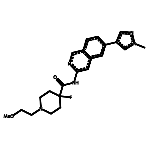 COCCN1CCC(F)(C(=O)Nc2cc3cc(-c4cnn(C)c4)ccc3cn2)CC1